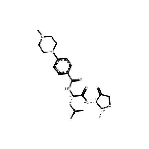 CC(C)C[C@H](NC(=O)c1ccc(N2CCN(C)CC2)cc1)C(=O)N[C@@H]1C(=O)CO[C@@H]1C